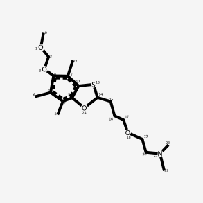 COCOc1c(C)c(C)c2c(c1C)SC(CCCOCCN(C)C)O2